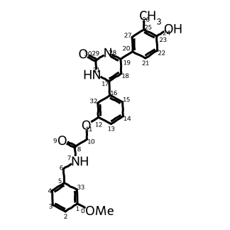 COc1cccc(CNC(=O)COc2cccc(-c3cc(-c4ccc(O)c(C)c4)nc(=O)[nH]3)c2)c1